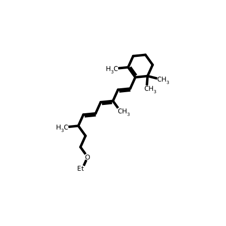 CCOCCC(C)/C=C/C=C(C)/C=C/C1=C(C)CCCC1(C)C